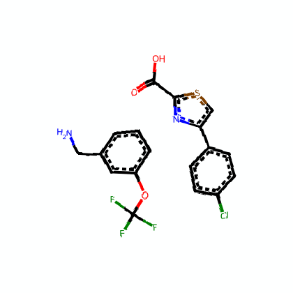 NCc1cccc(OC(F)(F)F)c1.O=C(O)c1nc(-c2ccc(Cl)cc2)cs1